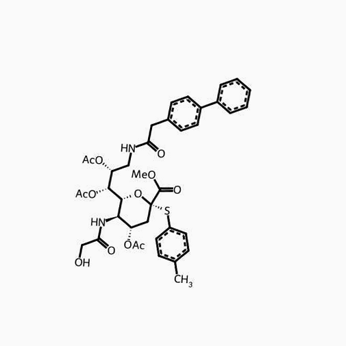 COC(=O)[C@@]1(Sc2ccc(C)cc2)C[C@H](OC(C)=O)[C@@H](NC(=O)CO)[C@H]([C@H](OC(C)=O)[C@@H](CNC(=O)Cc2ccc(-c3ccccc3)cc2)OC(C)=O)O1